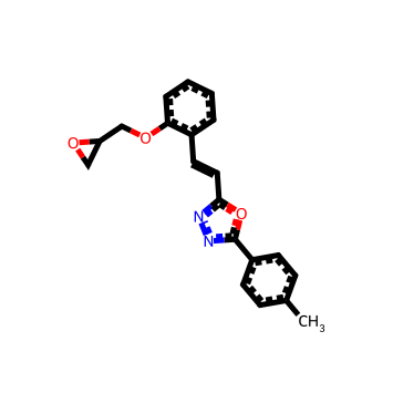 Cc1ccc(-c2nnc(/C=C/c3ccccc3OCC3CO3)o2)cc1